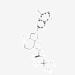 CC(C)(C)OC(=O)N[C@H]1CCO[C@H]2CN(c3nn4c(I)cnc4s3)C[C@@H]12